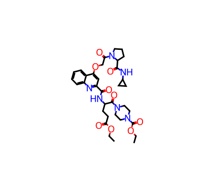 CCOC(=O)CCC(NC(=O)c1cc(OCC(=O)N2CCCC2C(=O)NC2CC2)c2ccccc2n1)C(=O)N1CCN(C(=O)OCC)CC1